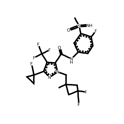 CC1(Cn2nc(C3(F)CC3)c(C(F)(F)F)c2C(=O)Nc2ccc(F)c(S(C)(=N)=O)c2)CC(F)(F)C1